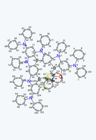 c1ccc(N(c2ccccc2)c2cc3c4c(c2)N(c2ccccc2)c2cc5c(cc2B4c2sc4ccccc4c2O3)B2c3cc4c(cc3N(c3ccccc3)c3cc(N(c6ccccc6)c6ccccc6)cc(c32)N5c2ccccc2)N(c2ccccc2)c2cc(N(c3ccccc3)c3ccccc3)cc3c2B4c2sc4ccccc4c2S3)cc1